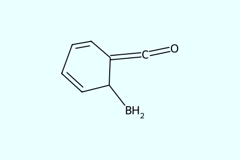 BC1C=CC=CC1=C=O